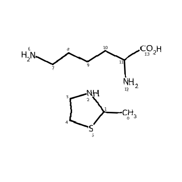 CC1NCCS1.NCCCCC(N)C(=O)O